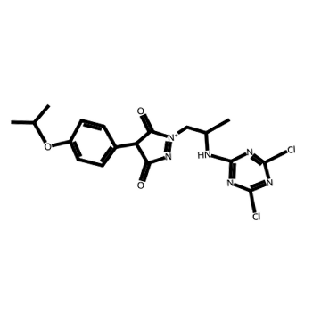 CC(C[N+]1=NC(=O)C(c2ccc(OC(C)C)cc2)C1=O)Nc1nc(Cl)nc(Cl)n1